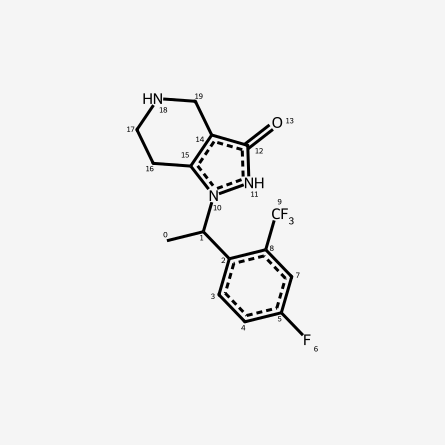 CC(c1ccc(F)cc1C(F)(F)F)n1[nH]c(=O)c2c1CCNC2